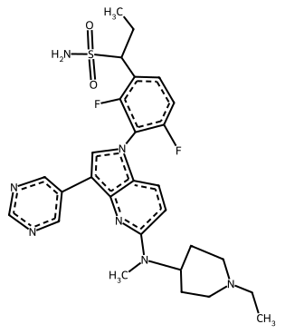 CCC(c1ccc(F)c(-n2cc(-c3cncnc3)c3nc(N(C)C4CCN(CC)CC4)ccc32)c1F)S(N)(=O)=O